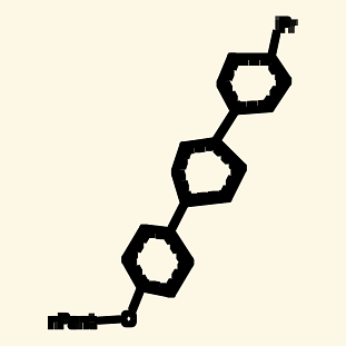 CCCCCOc1ccc(-c2ccc(-c3ccc(C(C)C)cc3)cc2)cc1